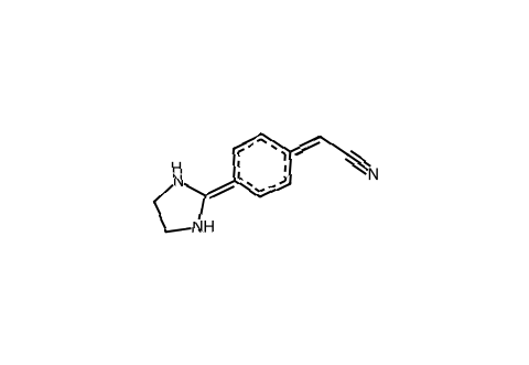 N#CC=c1ccc(=C2NCCN2)cc1